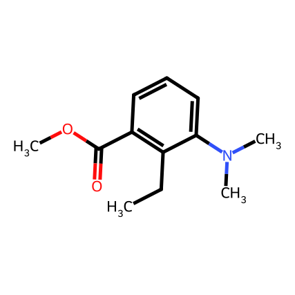 CCc1c(C(=O)OC)cccc1N(C)C